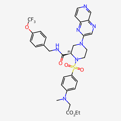 CCOC(=O)CN(C)c1ccc(S(=O)(=O)N2CCN(c3cnc4cnccc4n3)C[C@@H]2C(=O)NCc2ccc(OC(F)(F)F)cc2)cc1